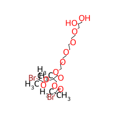 CC(C)(Br)C(=O)OCC(C)(COC(=O)C(C)(C)Br)C(=O)OCCOCCOCCOCCOCC(O)CO